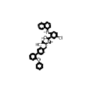 O=C(N[C@@H](Cc1ccc(-c2ccccc2Oc2ccccc2)cc1)C(=O)O)c1cc(Cl)ccc1Nc1cccc2ccccc12